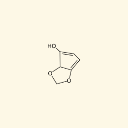 OC1=CC=C2OCOC12